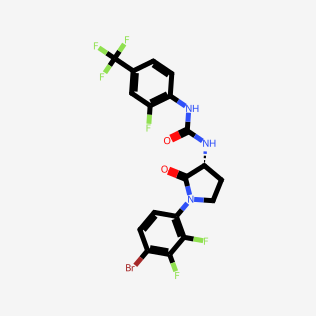 O=C(Nc1ccc(C(F)(F)F)cc1F)N[C@@H]1CCN(c2ccc(Br)c(F)c2F)C1=O